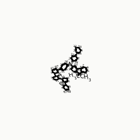 CC1(C)c2ccccc2-c2cc(N(c3ccc(-c4ccccc4)cc3)c3ccc(-c4cccc5c4sc4c(-c6cccc7c6oc6ccccc67)cccc45)cc3)ccc21